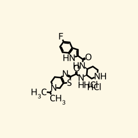 CC(C)N1CCc2nc(C(=O)N[C@@H]3CNCC[C@@H]3NC(=O)c3cc4cc(F)ccc4[nH]3)sc2C1.Cl.Cl